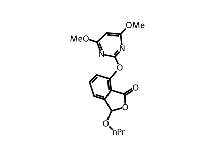 CCCOC1OC(=O)c2c(Oc3nc(OC)cc(OC)n3)cccc21